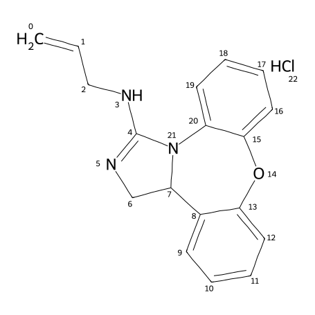 C=CCNC1=NCC2c3ccccc3Oc3ccccc3N12.Cl